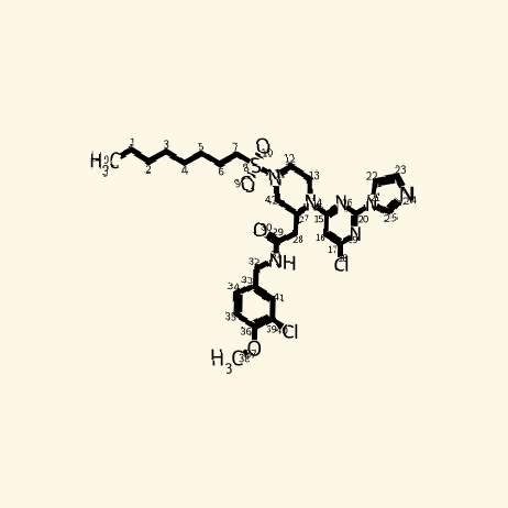 CCCCCCCCS(=O)(=O)N1CCN(c2cc(Cl)nc(-n3ccnc3)n2)C(CC(=O)NCc2ccc(OC)c(Cl)c2)C1